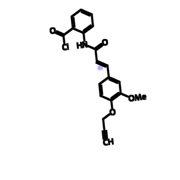 C#CCOc1ccc(/C=C/C(=O)Nc2ccccc2C(=O)Cl)cc1OC